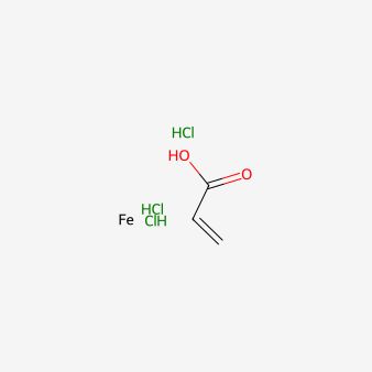 C=CC(=O)O.Cl.Cl.Cl.[Fe]